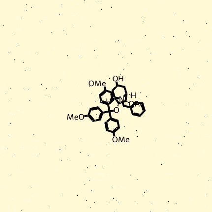 COc1ccc(C(O[C@H]2[C@@H](OC(C)=O)[C@@H]3CC(O)C[C@H]2N3Cc2ccccc2)(c2ccc(OC)cc2)c2ccc(OC)cc2)cc1